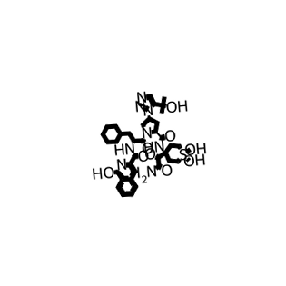 CC(C)(O)c1cnnn1[C@H]1C[C@@H](C(=O)NC2(C(=O)C(N)=O)CCS(O)(O)CC2)N(C(=O)C(CC2CCCCC2)NC(=O)c2cc3ccccc3c(O)n2)C1